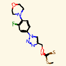 CSC(=S)OCc1cn(-c2ccc(N3CCOCC3)c(F)c2)nn1